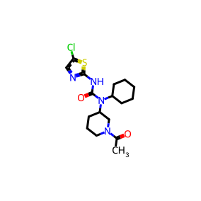 CC(=O)N1CCCC(N(C(=O)Nc2ncc(Cl)s2)C2CCCCC2)C1